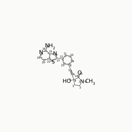 CN1CCC(O)(C#Cc2cccc(-c3nc4c(N)nccc4s3)c2)C1=O